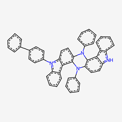 c1ccc(-c2ccc(-n3c4ccccc4c4c5c(ccc43)N(c3ccccc3)c3c(ccc4[nH]c6ccccc6c34)N5c3ccccc3)cc2)cc1